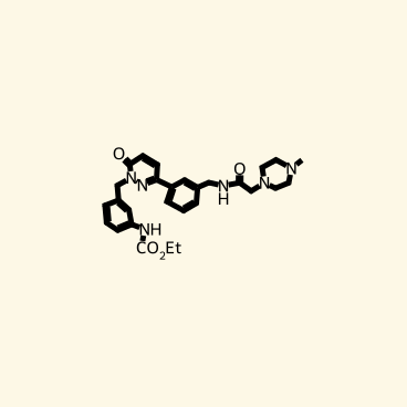 CCOC(=O)Nc1cccc(Cn2nc(-c3cccc(CNC(=O)CN4CCN(C)CC4)c3)ccc2=O)c1